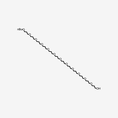 CCCCOCCCOCCCOCCCOCCCOCCCOCCCOCCCOCCCOCCCOCCCOCCCOCCCO